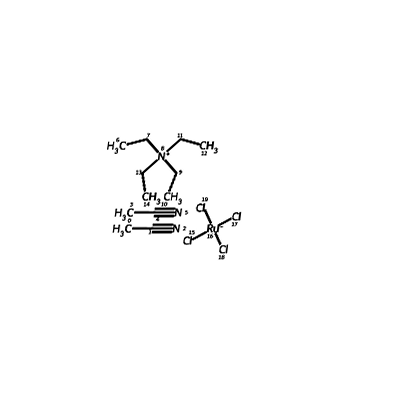 CC#N.CC#N.CC[N+](CC)(CC)CC.[Cl][Ru-]([Cl])([Cl])[Cl]